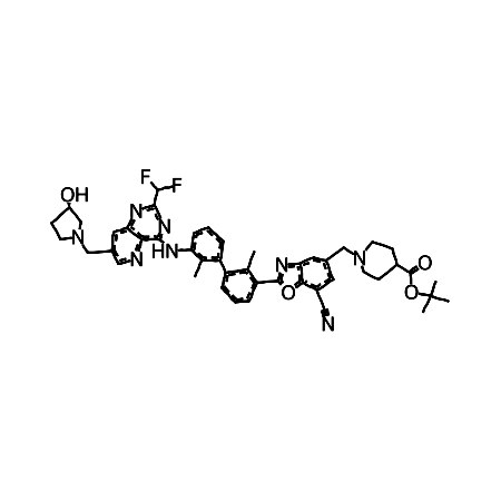 Cc1c(Nc2nc(C(F)F)nc3cc(CN4CC[C@@H](O)C4)cnc23)cccc1-c1cccc(-c2nc3cc(CN4CCC(C(=O)OC(C)(C)C)CC4)cc(C#N)c3o2)c1C